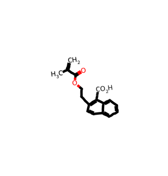 C=C(C)C(=O)OCCc1ccc2ccccc2c1C(=O)O